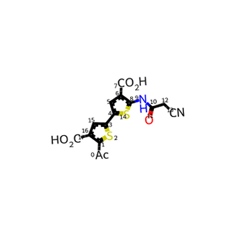 CC(=O)c1sc(-c2cc(C(=O)O)c(NC(=O)CC#N)s2)cc1C(=O)O